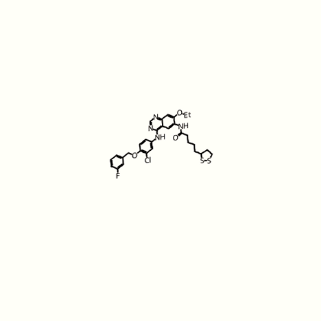 CCOc1cc2ncnc(Nc3ccc(OCc4cccc(F)c4)c(Cl)c3)c2cc1NC(=O)CCCCC1CCSS1